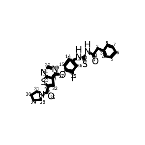 O=C(Cc1ccccc1)NC(=S)Nc1ccc(Oc2ncnc3sc(C(=O)N4CCCC4)cc23)c(F)c1